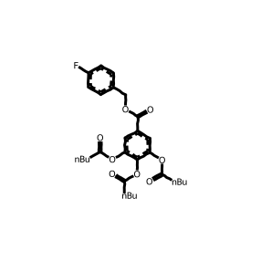 CCCCC(=O)Oc1cc(C(=O)OCc2ccc(F)cc2)cc(OC(=O)CCCC)c1OC(=O)CCCC